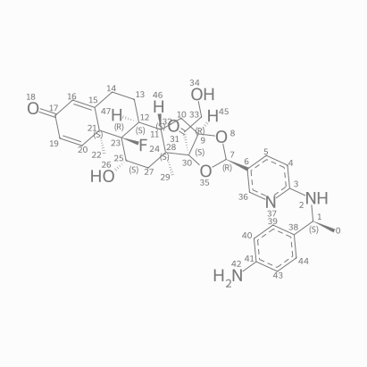 C[C@H](Nc1ccc([C@@H]2O[C@@H]3C[C@H]4[C@@H]5CCC6=CC(=O)C=C[C@]6(C)[C@@]5(F)[C@@H](O)C[C@]4(C)[C@]3(C(=O)CO)O2)cn1)c1ccc(N)cc1